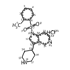 Cc1ccccc1S(=O)(=O)n1cc(C2CCNCC2)c2cnccc21.Cl